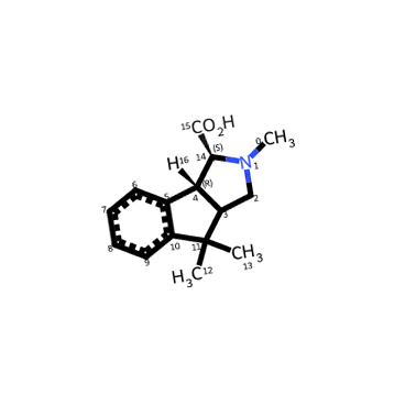 CN1CC2[C@H](c3ccccc3C2(C)C)[C@H]1C(=O)O